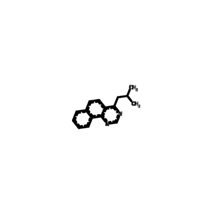 CC(C)Cc1ncnc2c1ccc1ccccc12